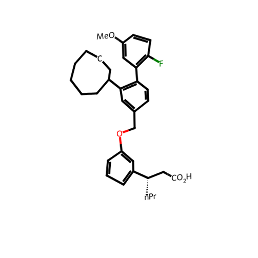 CCC[C@@H](CC(=O)O)c1cccc(OCc2ccc(-c3cc(OC)ccc3F)c(C3CCCCCCC3)c2)c1